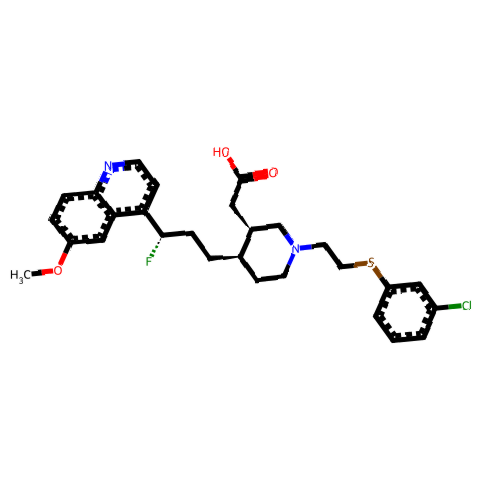 COc1ccc2nccc([C@@H](F)CC[C@@H]3CCN(CCSc4cccc(Cl)c4)C[C@@H]3CC(=O)O)c2c1